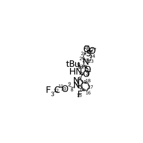 CC(C)(C)[C@H](NC(=O)c1nn(CCOCC(F)(F)F)c2c(F)cccc12)C(=O)N1CCS(=O)(=O)CC1